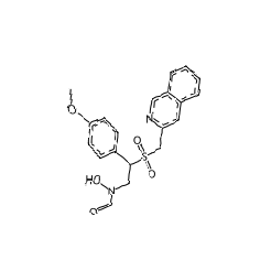 COc1ccc(C(CN(O)C=O)S(=O)(=O)Cc2cc3ccccc3cn2)cc1